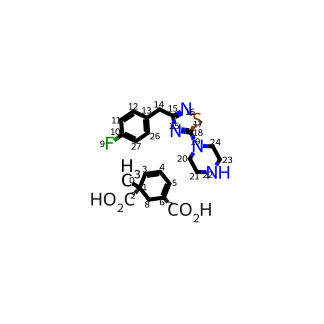 CC1(C(=O)O)C=CC=C(C(=O)O)C1.Fc1ccc(Cc2nsc(N3CCNCC3)n2)cc1